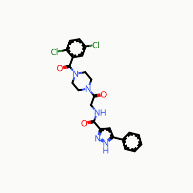 O=C(NCC(=O)N1CCN(C(=O)c2cc(Cl)ccc2Cl)CC1)c1cc(-c2ccccc2)[nH]n1